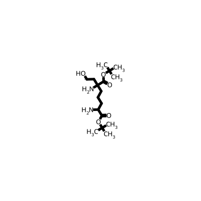 CC(C)(C)OC(=O)C(N)CCCC(N)(C[CH]O)C(=O)OC(C)(C)C